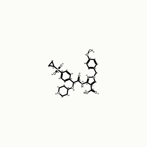 COc1ccc(Cn2cc(C(=O)O)c(NC(=O)C(OC3CCOCC3)c3ccc(S(=O)(=O)C4CC4)cc3)n2)cc1